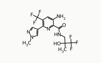 Cn1cc(-c2nc(C(=O)NCC(C)(O)C(F)(F)F)c(N)cc2C(F)(F)F)cn1